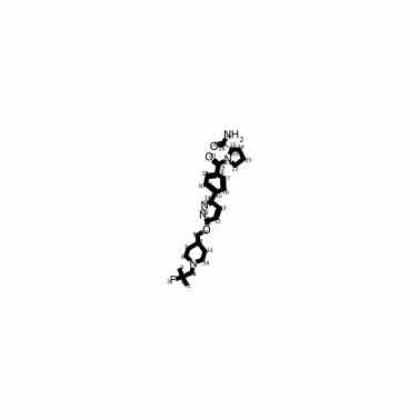 CC(C)(F)CN1CCC(COc2ccc(-c3ccc(C(=O)N4CCC[C@H]4C(N)=O)cc3)nn2)CC1